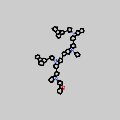 c1ccc(-n2c3ccc(-c4ccc5c(c4)c4cc6ccccc6cc4n5-c4cccc(-c5cc6c7c(cccc7c5)-c5ccccc5-6)c4)cc3c3cc4ccc(-c5ccc6c7cc(-c8ccc9c(c8)c8ccccc8n9-c8ccc9oc%10ccccc%10c9c8)ccc7n(-c7cccc(-c8cc9c%10c(cccc%10c8)-c8ccccc8-9)c7)c6c5)cc4cc32)cc1